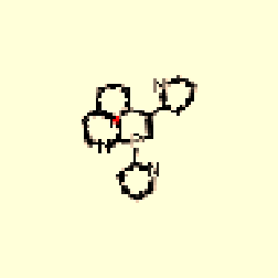 C(=C(c1ccccn1)c1ccccn1)P(c1ccccn1)c1ccccn1